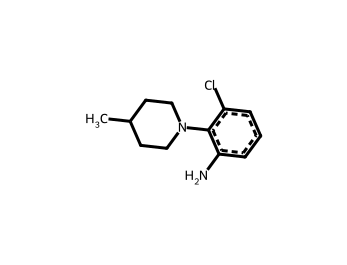 CC1CCN(c2c(N)cccc2Cl)CC1